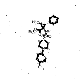 CC1[C@H](c2ccccc2)[C@]1(NS(=O)(=O)N1CCN(c2ccc(C(F)(F)F)cn2)CC1)C(=O)OC(C)(C)C